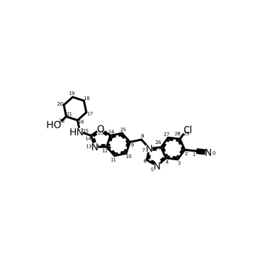 N#Cc1cc2ncn(Cc3ccc4nc(NC5CCCCC5O)oc4c3)c2cc1Cl